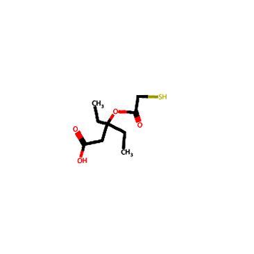 CCC(CC)(CC(=O)O)OC(=O)CS